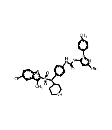 Cc1ccc(-n2nc(C(C)(C)C)cc2NC(=O)Nc2ccc(C(C3CCNCC3)S(=O)(=O)c3sc4ccc(Cl)cc4c3C)cc2)cc1